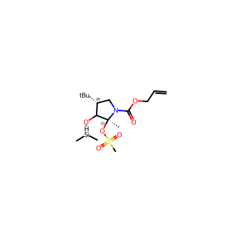 C=CCOC(=O)N1C[C@@H](C(C)(C)C)C(O[SiH](C)C)[C@]1(C)OS(C)(=O)=O